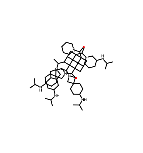 CC(C)NC1CCC2(CC1)CCN(C(C)C13CC4CC5(C(C)N6CCCCC6)C6(C(C)N7CCCC(NC(C)C)C7)CC7C(C(C)N8CC9CCC(NC(C)C)CC9C8)C1(C(C)N1CC8(CCC(NC(C)C)CC8)C1)C76C453)C2